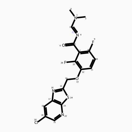 CN(C)/C=N/C(=O)c1c(F)ccc(OCc2nc3cc(Cl)cnc3s2)c1F